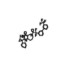 O=C(N1CCCc2nc(C3(c4ccccc4)CC3)[nH]c(=O)c2C1)C(F)(F)c1cccc(-c2cccc(C(F)(F)F)c2)c1